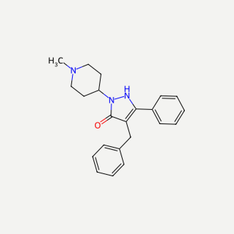 CN1CCC(n2[nH]c(-c3ccccc3)c(Cc3ccccc3)c2=O)CC1